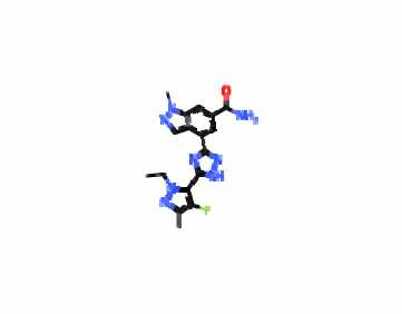 CCn1nc(C)c(F)c1-c1nc(-c2cc(C(N)=O)cc3c2cnn3C)n[nH]1